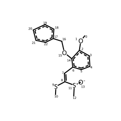 COc1cccc(C=C(SC)[S+](C)[O-])c1OCc1ccccc1